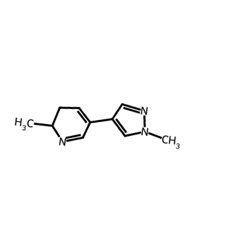 CC1CC=C(c2cnn(C)c2)C=N1